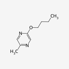 CCCCOc1cnc(C)cn1